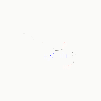 CCCSC[C@H](N)C(=O)NC1(CO)CC1